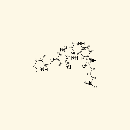 CC1CCCNC1COc1ccc(NC2c3cc(NC(=O)CCCN(C)C)ccc3NCC2C#N)c(Cl)c1